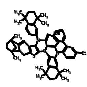 CCc1ccc(N2c3cc4c(cc3B3c5sc6c(c5N(c5ccc7c(c5)C(C)(C)CCC7(C)C)c5cc(C(C)(C)C)cc2c53)C=C2C(C6)C3(C)CCC2(C)C3)C(C)(C)CCC4(C)C)c(-c2ccccc2)c1